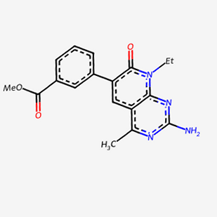 CCn1c(=O)c(-c2cccc(C(=O)OC)c2)cc2c(C)nc(N)nc21